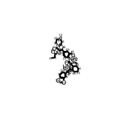 CCC(=O)N[C@@H](C(=O)N1CCN(C)CC1)[C@@H](C)c1ccc(NC(=O)[C@@](NC(=O)C(F)(F)c2ccc3c(c2)OCO3)([SiH2]C)C2CCCCC2)c(F)c1